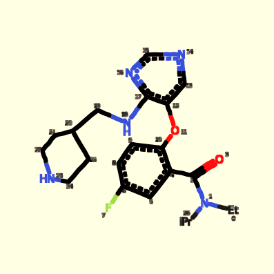 CCN(C(=O)c1cc(F)ccc1Oc1cncnc1NCC1CCNCC1)C(C)C